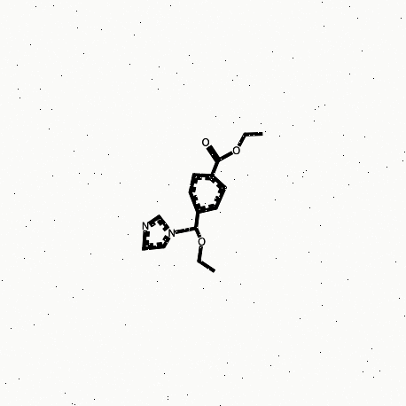 CCOC(=O)c1ccc(C(OCC)n2ccnc2)cc1